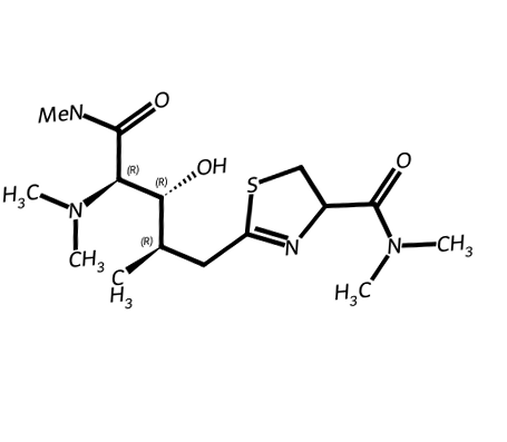 CNC(=O)[C@@H]([C@H](O)[C@H](C)CC1=NC(C(=O)N(C)C)CS1)N(C)C